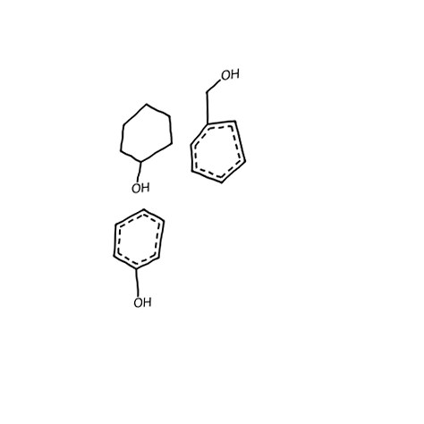 OC1CCCCC1.OCc1ccccc1.Oc1ccccc1